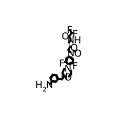 Nc1cccc(CN2CCN(c3c(F)cc(N4C[C@H](CNC(=O)C(F)F)OC4=O)cc3F)CCO2)c1